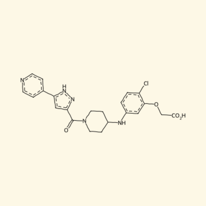 O=C(O)COc1cc(NC2CCN(C(=O)c3cc(-c4ccncc4)[nH]n3)CC2)ccc1Cl